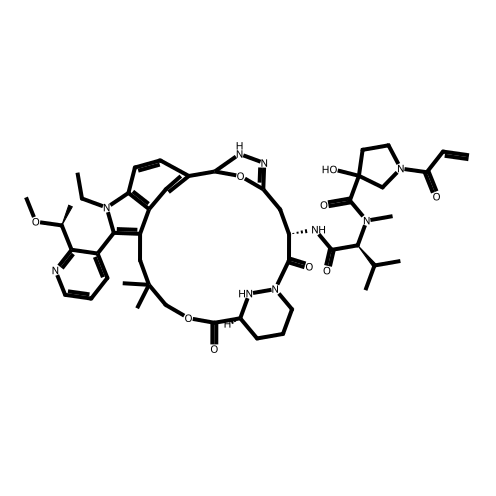 C=CC(=O)N1CCC(O)(C(=O)N(C)[C@H](C(=O)N[C@H]2CC3=NNC(O3)c3ccc4c(c3)c(c(-c3cccnc3[C@H](C)OC)n4CC)CC(C)(C)COC(=O)[C@@H]3CCCN(N3)C2=O)C(C)C)C1